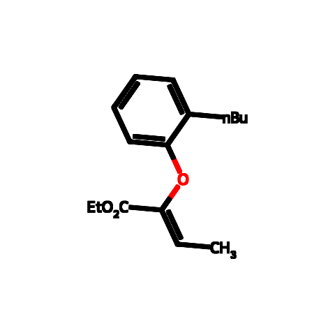 C/C=C(\Oc1ccccc1CCCC)C(=O)OCC